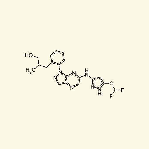 CC(CO)Cc1ccccc1-n1ncc2ncc(Nc3cc(OC(F)F)[nH]n3)nc21